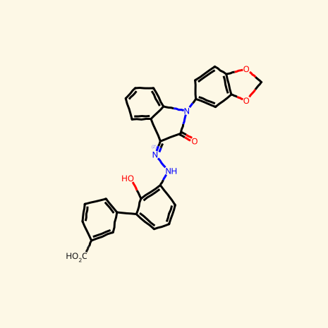 O=C(O)c1cccc(-c2cccc(N/N=C3\C(=O)N(c4ccc5c(c4)OCO5)c4ccccc43)c2O)c1